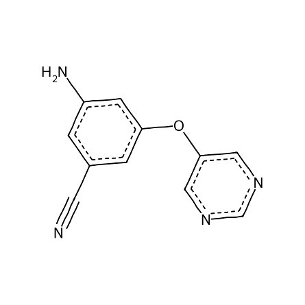 N#Cc1cc(N)cc(Oc2cncnc2)c1